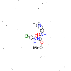 COCCO[C@@H]1C[C@H](C(=O)Nc2ccc3c(c2)CCN(C)CC3)N(C(=O)Nc2ccc(Cl)cc2)C1